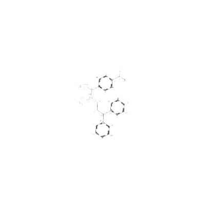 CC(c1ccc(C(F)F)cc1)N(C)CCC(c1ccccc1)c1ccccc1